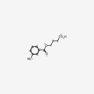 N#Cc1cccc(C(=O)OCCCC(=O)O)c1